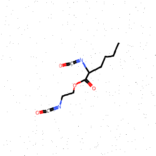 CCCCC(N=C=O)C(=O)OCCN=C=O